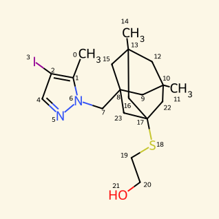 Cc1c(I)cnn1CC12CC3(C)CC(C)(C1)CC(SCCO)(C3)C2